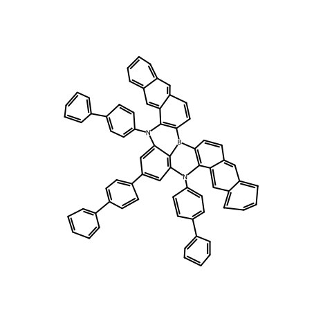 c1ccc(-c2ccc(-c3cc4c5c(c3)N(c3ccc(-c6ccccc6)cc3)c3c(ccc6cc7ccccc7cc36)B5c3ccc5cc6ccccc6cc5c3N4c3ccc(-c4ccccc4)cc3)cc2)cc1